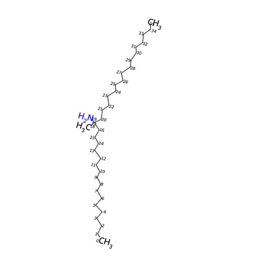 CCCCCCCCCCCCCCCCCC(C)(N)CCCCCCCCCCCCCCCC